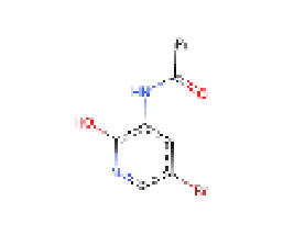 CC(C)C(=O)Nc1cc(Br)cnc1O